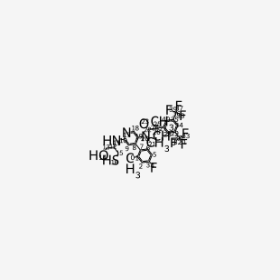 Cc1cc(F)ccc1-c1cc(NC(CO)CS)ncc1N(C)C(=O)C(C)(C)c1cc(C(F)(F)F)cc(C(F)(F)F)c1